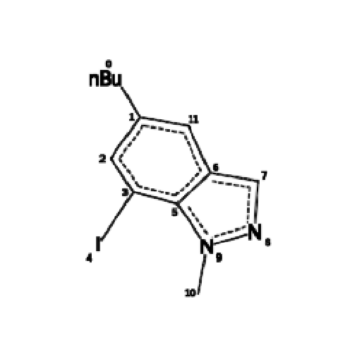 CCCCc1cc(I)c2c(cnn2C)c1